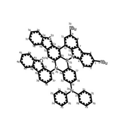 CC(C)(C)c1ccc2c(c1)c1cc(C(C)(C)C)cc3c1n2B1c2ccc(N(c4ccccc4)c4ccccc4)cc2N(c2cccc4c2oc2ccccc24)c2cc4c(sc5ccccc54)c-3c21